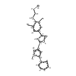 Cc1cc(-c2noc(-c3cc(-c4ccccc4)n(C)n3)n2)cc(C)c1OCCBr